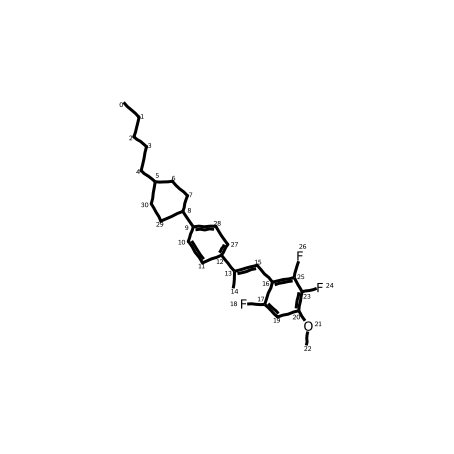 CCCCCC1CCC(c2ccc(C(C)=Cc3c(F)cc(OC)c(F)c3F)cc2)CC1